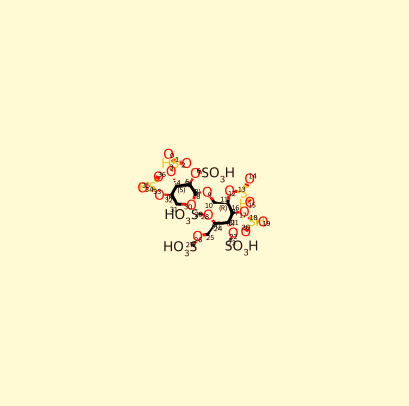 O=[SH](=O)O[C@@H]1[C@@H](OS(=O)(=O)O)[C@H](OC[C@@H](O[SH](=O)=O)[C@@H](O[SH](=O)=O)[C@H](OS(=O)(=O)O)[C@@H](COS(=O)(=O)O)OS(=O)(=O)O)OC[C@H]1O[SH](=O)=O